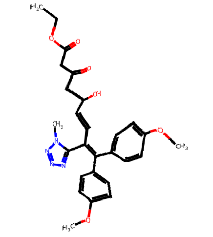 CCOC(=O)CC(=O)CC(O)/C=C/C(=C(c1ccc(OC)cc1)c1ccc(OC)cc1)c1nnnn1C